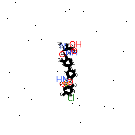 Cc1cc(S(=O)(=O)Nc2cccc(-c3ccc(C(=O)NC4(C(=O)O)CN(C)C4)c(C)c3)c2)c(C)cc1Cl